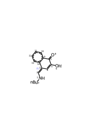 CCCCN/C=C1\C=C(O)C(=O)c2ccccc21